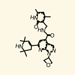 Cc1cc(C)c(CNC(=O)c2cc(C3=CC(C)(C)NC(C)(C)C3)nc3c2cnn3C2COC2)c(=O)[nH]1